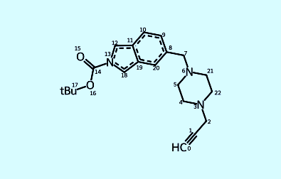 C#CCN1CCN(Cc2ccc3cn(C(=O)OC(C)(C)C)cc3c2)CC1